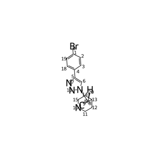 Brc1ccc(-c2cn([C@H]3CN4CCC3CC4)nn2)cc1